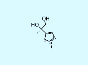 CS1=NC=C([C@@](C)(O)CO)S1